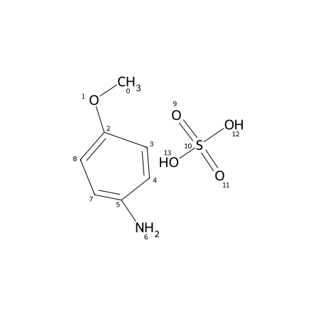 COc1ccc(N)cc1.O=S(=O)(O)O